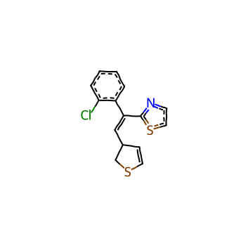 Clc1ccccc1C(=CC1C=CSC1)c1nccs1